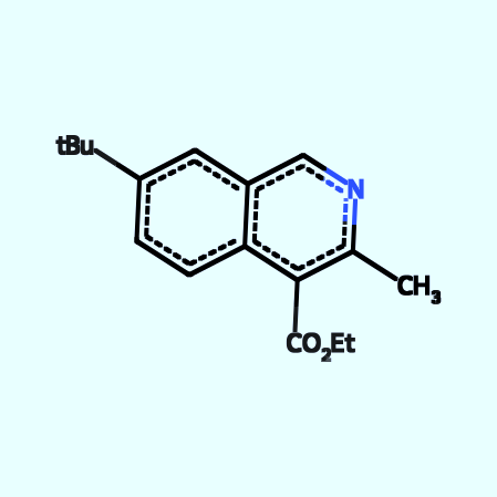 CCOC(=O)c1c(C)ncc2cc(C(C)(C)C)ccc12